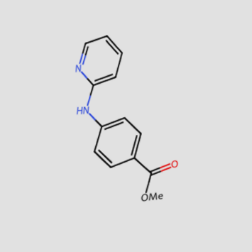 COC(=O)c1ccc(Nc2ccccn2)cc1